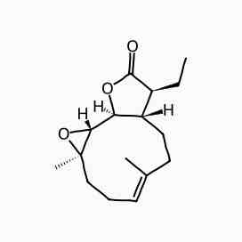 CC[C@@H]1C(=O)O[C@H]2[C@H]1CC/C(C)=C/CC[C@@]1(C)O[C@H]21